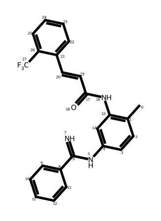 Cc1ccc(NC(=N)c2ccccc2)cc1NC(=O)/C=C/c1ccccc1C(F)(F)F